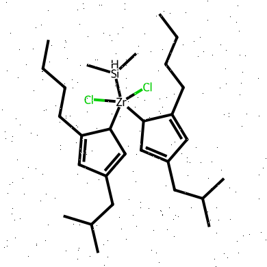 CCCCC1=CC(CC(C)C)=C[CH]1[Zr]([Cl])([Cl])([CH]1C=C(CC(C)C)C=C1CCCC)[SiH](C)C